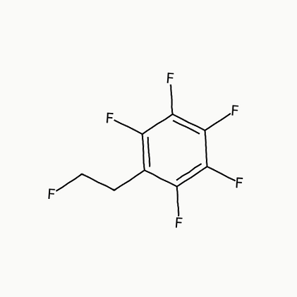 FCCc1c(F)c(F)c(F)c(F)c1F